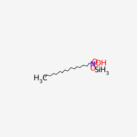 CCCCCCCCCCCCCCCCN(OO)O[SiH3]